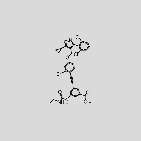 CCNC(=O)Nc1cc(C#Cc2ccc(OCc3c(-c4c(Cl)cccc4Cl)noc3C3CC3)cc2Cl)cc(C(=O)OC)c1